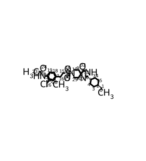 CC[C@H]1CC[C@H](C2=NC3(CCN(S(=O)(=O)CCc4ccc(NC(C)=O)c(Cl)c4C)CC3)C(=O)N2)CC1